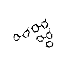 Cc1cccc(-c2ccccc2)c1.Cc1cccc(-c2ccccc2)c1.Cc1cccc(-c2ccccc2)c1.c1ccccc1